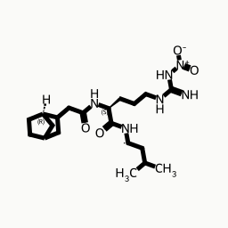 CC(C)C[CH]NC(=O)[C@H](CCCNC(=N)N[N+](=O)[O-])NC(=O)CC1CC2CC[C@@H]1C2